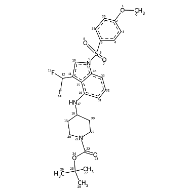 COc1ccc(S(=O)(=O)n2cc(C(F)F)c3c(NC4CCN(C(=O)OC(C)(C)C)CC4)cccc32)cc1